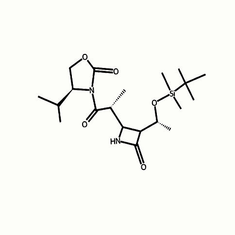 CC(C)[C@H]1COC(=O)N1C(=O)[C@H](C)C1NC(=O)C1[C@@H](C)O[Si](C)(C)C(C)(C)C